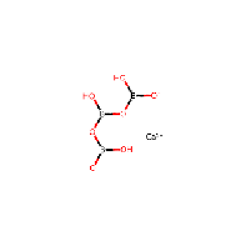 [Ca+2].[O-]B(O)OB(O)OB([O-])O